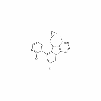 Cc1nccc2c3cc(Cl)cc(-c4cccnc4Cl)c3n(CC3CC3)c12